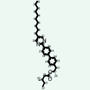 CCCCCCCCCCc1cnc(-c2ccc(-c3ccc(C[C@H](C)OC(=O)C[C@H](C)CC)cc3)cc2)nc1